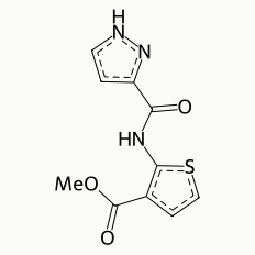 COC(=O)c1ccsc1NC(=O)c1cc[nH]n1